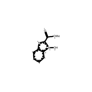 COC(=O)c1nc2ccccc2n1O